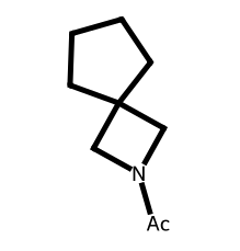 CC(=O)N1CC2(CCCC2)C1